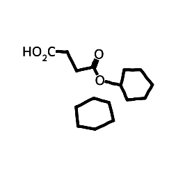 C1CCCCC1.O=C(O)CCC(=O)OC1CCCCC1